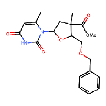 COC(=O)C1(C)CC(n2c(C)cc(=O)[nH]c2=O)OC1COCc1ccccc1